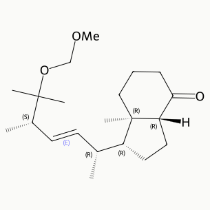 COCOC(C)(C)[C@@H](C)/C=C/[C@@H](C)[C@H]1CC[C@H]2C(=O)CCC[C@]12C